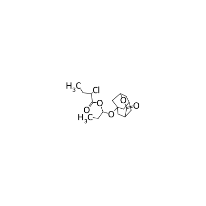 CCC(OC(=O)C(Cl)CC)OC12CC3CC(C1)OC(=O)C(C3)C2